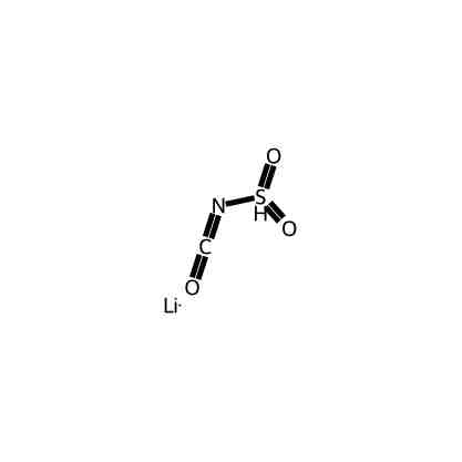 O=C=N[SH](=O)=O.[Li]